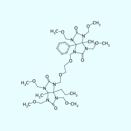 CCCC12N(COC)C(=O)N(COC)C1(C)N(COC)C(=O)N2COCCOCN1C(=O)N(COC)C2(C)N(COC)C(=O)N(COC)C12c1ccccc1